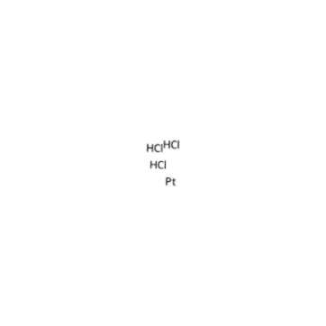 Cl.Cl.Cl.[Pt]